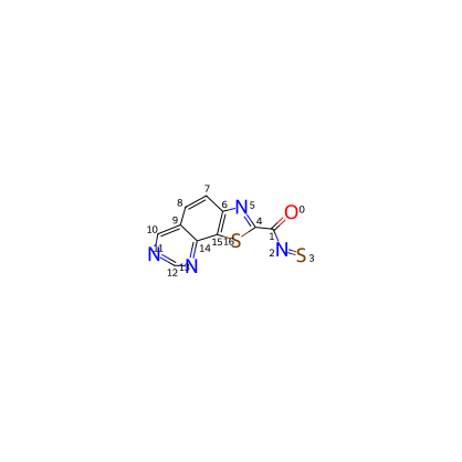 O=C(N=S)c1nc2ccc3cncnc3c2s1